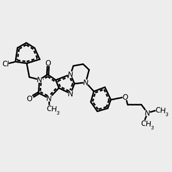 CN(C)CCOc1cccc(N2CCCn3c2nc2c3c(=O)n(Cc3ccccc3Cl)c(=O)n2C)c1